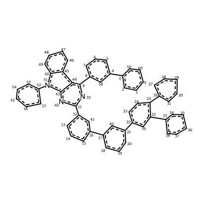 c1ccc(-c2cccc(-c3nc(-c4cccc(-c5cccc(-c6ccc(-c7ccccc7)c(-c7ccccc7)c6)c5)c4)nc4c3c3ccccc3n4-c3ccccc3)c2)cc1